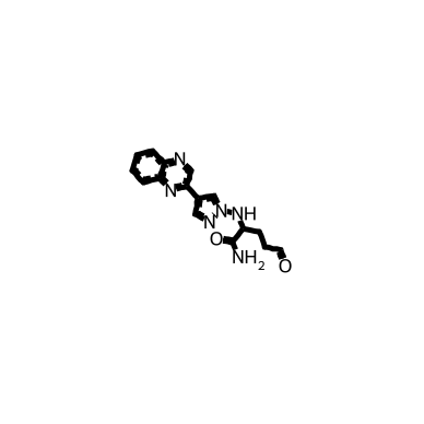 NC(=O)C(CCC=O)Nn1cc(-c2cnc3ccccc3n2)cn1